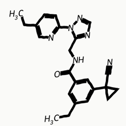 CCc1ccc(-n2ncnc2CNC(=O)c2cc(CC)cc(C3(C#N)CC3)c2)nc1